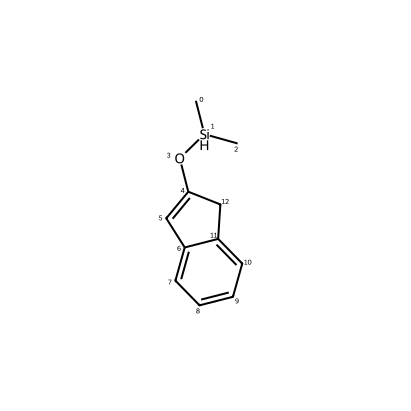 C[SiH](C)OC1=Cc2ccccc2C1